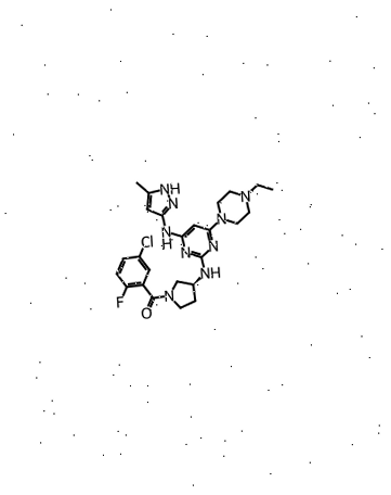 CCN1CCN(c2cc(Nc3cc(C)[nH]n3)nc(N[C@H]3CCN(C(=O)c4cc(Cl)ccc4F)C3)n2)CC1